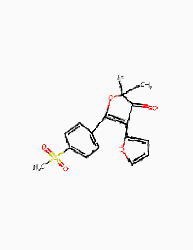 CCC1(C)OC(c2ccc(S(C)(=O)=O)cc2)=C(c2ccco2)C1=O